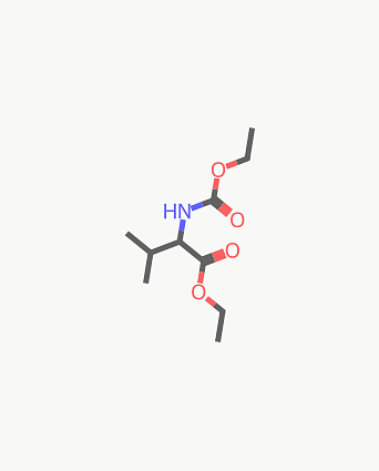 CCOC(=O)NC(C(=O)OCC)C(C)C